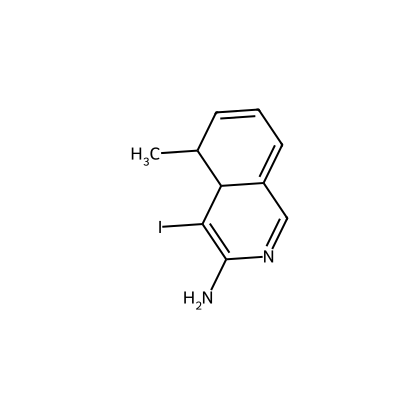 CC1C=CC=C2C=NC(N)=C(I)C21